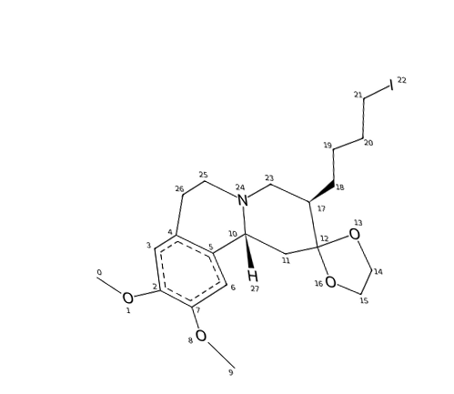 COc1cc2c(cc1OC)[C@H]1CC3(OCCO3)[C@H](CCCCI)CN1CC2